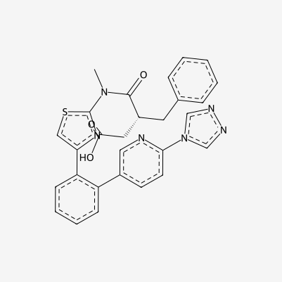 CN(C(=O)[C@@H](CC(=O)O)Cc1ccccc1)c1nc(-c2ccccc2-c2ccc(-n3cnnc3)nc2)cs1